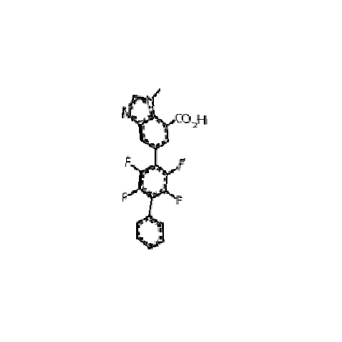 Cn1cnc2cc(-c3c(F)c(F)c(-c4ccccc4)c(F)c3F)cc(C(=O)O)c21